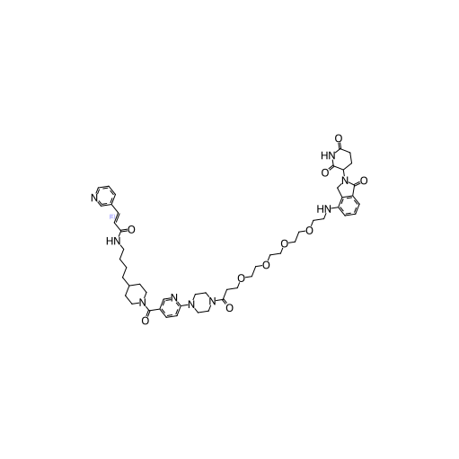 O=C(/C=C/c1cccnc1)NCCCCC1CCN(C(=O)c2ccc(N3CCN(C(=O)CCOCCOCCOCCOCCNc4cccc5c4CN(C4CCC(=O)NC4=O)C5=O)CC3)nc2)CC1